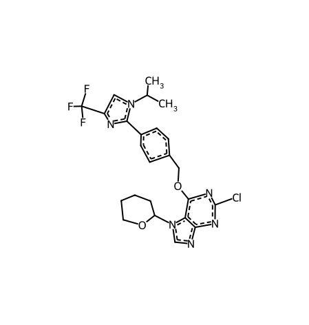 CC(C)n1cc(C(F)(F)F)nc1-c1ccc(COc2nc(Cl)nc3ncn(C4CCCCO4)c23)cc1